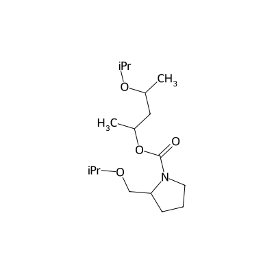 CC(C)OCC1CCCN1C(=O)OC(C)CC(C)OC(C)C